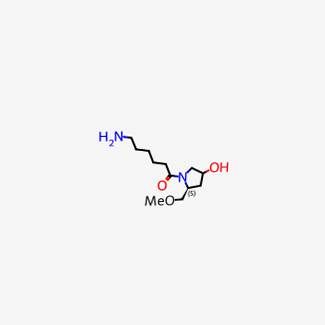 COC[C@@H]1CC(O)CN1C(=O)CCCCCN